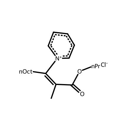 CCCCCCCCC(=C(C)C(=O)OCCC)[n+]1ccccc1.[Cl-]